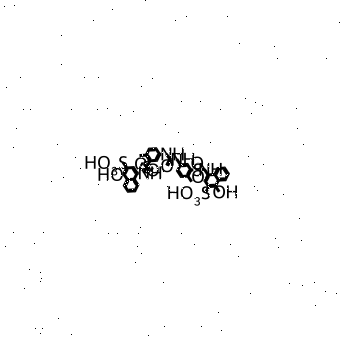 Cc1ccc(NC(=O)Nc2ccc(C)c(S(=O)(=O)Nc3cc(S(=O)(=O)O)c(O)c4ccccc34)c2)cc1S(=O)(=O)Nc1cc(S(=O)(=O)O)c(O)c2ccccc12